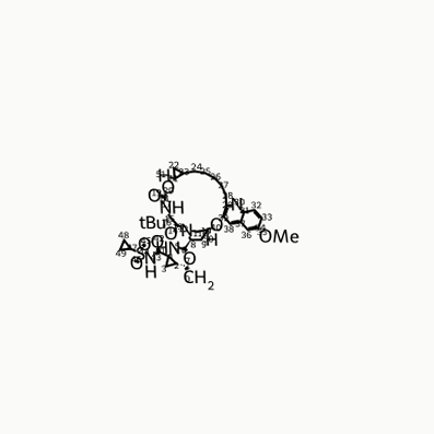 C=C[C@@H]1C[C@]1(NC(=O)[C@@H]1C[C@@H]2CN1C(=O)[C@H](C(C)(C)C)NC(=O)O[C@@H]1CC1CCCCCc1nc3ccc(OC)cc3cc1O2)C(=O)NS(=O)(=O)C1CC1